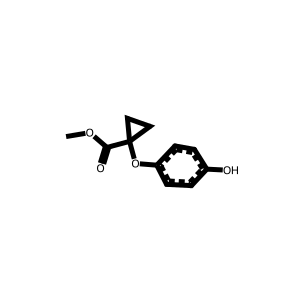 COC(=O)C1(Oc2ccc(O)cc2)CC1